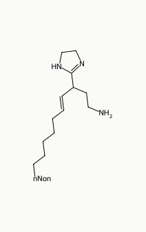 CCCCCCCCCCCCCCC=CC(CCN)C1=NCCN1